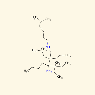 CCCCC(N)(C(C)(CC)CC)C(CCC)(CNCCCCC(C)C)CC(C)C